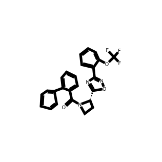 O=C(c1ccccc1-c1ccccc1)N1CC[C@H]1c1nc(-c2ccccc2OC(F)(F)F)no1